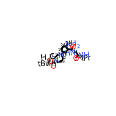 CC(C)NC(=O)CNC(=O)c1cc(N2CCCN(C(=O)OC(C)(C)C)C(C)C2)ccc1N